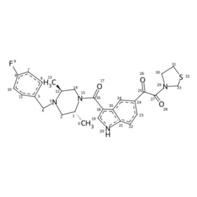 C[C@@H]1CN(Cc2ccc(F)cc2)[C@@H](C)CN1C(=O)c1c[nH]c2ccc(C(=O)C(=O)N3CCSC3)cc12